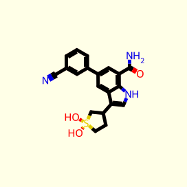 N#Cc1cccc(-c2cc(C(N)=O)c3[nH]cc(C4CCS(O)(O)C4)c3c2)c1